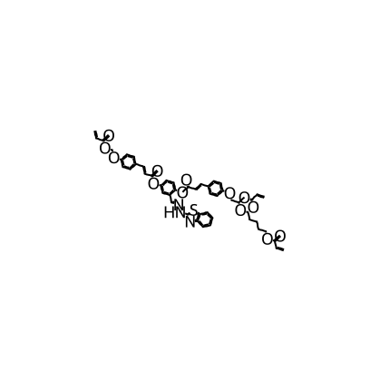 C=CC(=O)OCCCCCOC(COc1ccc(/C=C/C(=O)Oc2ccc(OC(=O)/C=C/c3ccc(OCOC(=O)C=C)cc3)cc2/C=N/Nc2nc3ccccc3s2)cc1)OC(=O)C=C